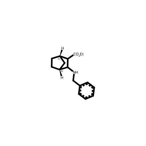 CCOC(=O)C1C(NCc2ccccc2)[C@@H]2CC[C@H]1C2